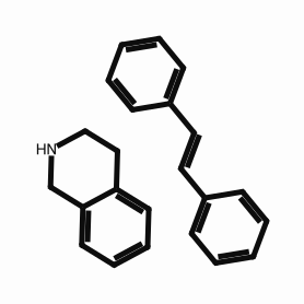 C(=Cc1ccccc1)c1ccccc1.c1ccc2c(c1)CCNC2